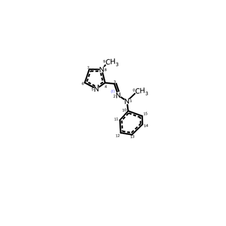 CN(/N=C/c1nccn1C)c1ccccc1